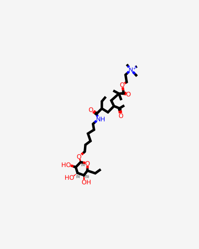 CCC(CC(CC(C)(C)C(=O)OCC[N+](C)(C)C)C(C)=O)C(=O)NCCCCCCO[C@H]1OC(CC)[C@@H](O)[C@H](O)C1O